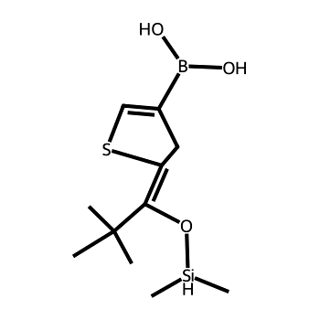 C[SiH](C)OC(=C1CC(B(O)O)=CS1)C(C)(C)C